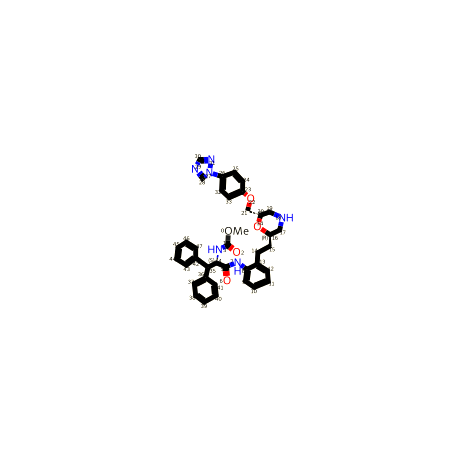 COC(=O)N[C@H](C(=O)Nc1ccccc1CC[C@@H]1CNC[C@@H](COc2ccc(-n3cncn3)cc2)O1)C(c1ccccc1)c1ccccc1